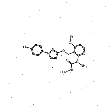 CCOc1cccc(N(N)C(=O)NN)c1COc1ccn(-c2ccc(Cl)cc2)n1